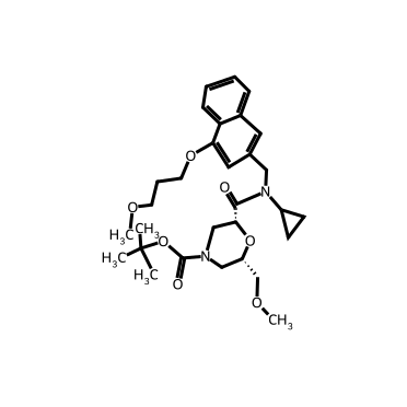 COCCCOc1cc(CN(C(=O)[C@H]2CN(C(=O)OC(C)(C)C)C[C@@H](COC)O2)C2CC2)cc2ccccc12